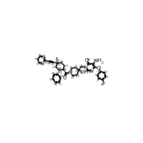 Nc1c(Oc2ccc(F)cc2)ncn(CC2(O)CCN(C(=O)[C@@H]3CC[C@@](F)(C#Cc4ncccn4)C[C@H]3c3ccccc3)CC2)c1=O